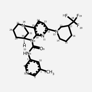 Cc1cncc(NC(=O)N2c3nc(N4CCCC(C(F)(F)F)C4)ccc3N3CCC[C@H]2C3)c1